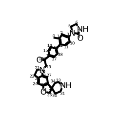 Cc1cc(N2CCNC2=O)ccc1-c1ccc(C(=O)CN2CCc3cc4c(cc32)C2(CCNCC2)CO4)cc1